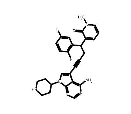 Cn1cccc(C(CC#Cc2cn(C3CCNCC3)c3ncnc(N)c23)c2cc(F)ccc2F)c1=O